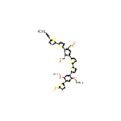 CCCCCCCCC#Cc1ccc(-c2ccc(-c3cc(CP=O)c(-c4ccc(-c5ccc(-c6cc(OCCCCCC)c(-c7ccc(P)s7)cc6OCCCCCC)s5)s4)cc3CP=O)s2)s1